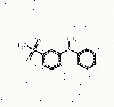 CN(c1ccccc1)c1cc(S(C)(=O)=O)ncn1